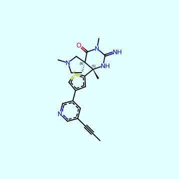 CC#Cc1cncc(-c2csc([C@@]3(C)NC(=N)N(C)C(=O)[C@@]34CCN(C)C4)c2)c1